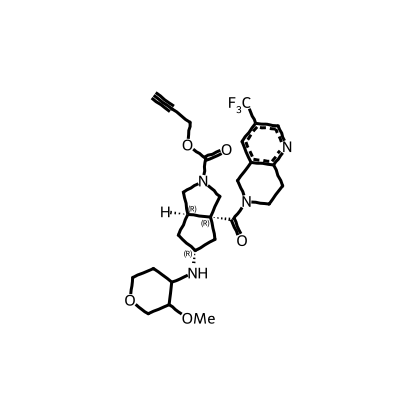 C#CCOC(=O)N1C[C@@H]2C[C@@H](NC3CCOCC3OC)C[C@]2(C(=O)N2CCc3ncc(C(F)(F)F)cc3C2)C1